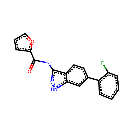 O=C(Nc1n[nH]c2cc(-c3ccccc3F)ccc12)c1ccco1